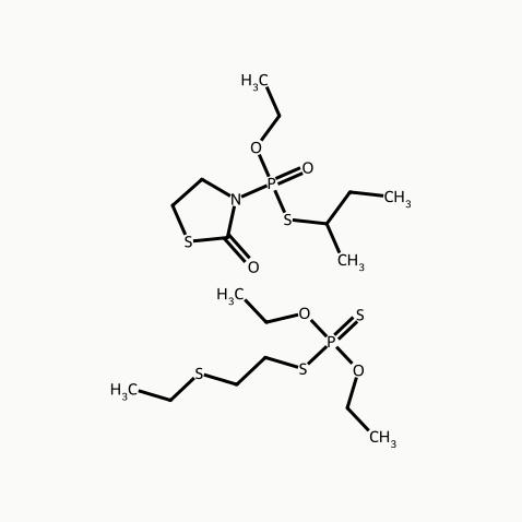 CCOP(=O)(SC(C)CC)N1CCSC1=O.CCOP(=S)(OCC)SCCSCC